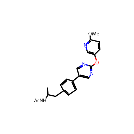 COc1ccc(Oc2ncc(-c3ccc(CC(C)NC(C)=O)cc3)cn2)cn1